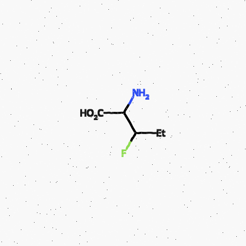 CCC(F)C(N)C(=O)O